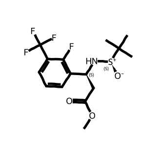 COC(=O)C[C@H](N[S@+]([O-])C(C)(C)C)c1cccc(C(F)(F)F)c1F